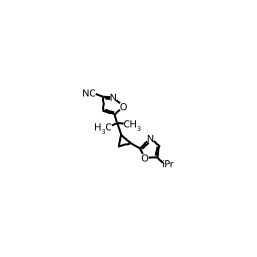 CC(C)c1cnc(C2CC2C(C)(C)c2cc(C#N)no2)o1